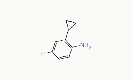 Nc1ccc(F)cc1C1CC1